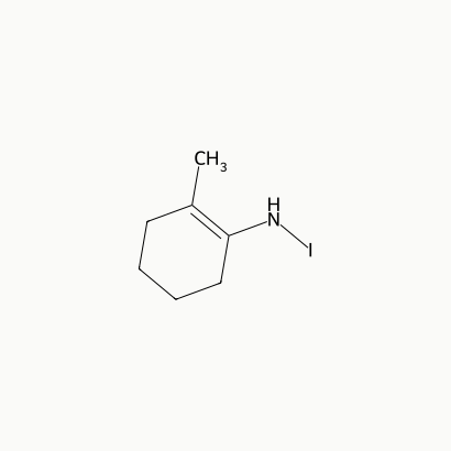 CC1=C(NI)CCCC1